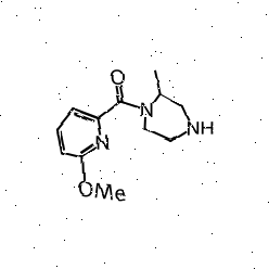 COc1cccc(C(=O)N2CCNCC2C)n1